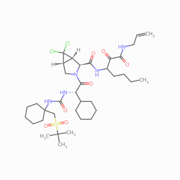 C=CCNC(=O)C(=O)C(CCCC)NC(=O)[C@@H]1[C@@H]2[C@H](CN1C(=O)[C@@H](NC(=O)NC1(CS(=O)(=O)C(C)(C)C)CCCCC1)C1CCCCC1)C2(Cl)Cl